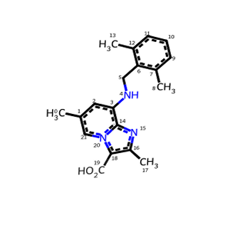 Cc1cc(NCc2c(C)cccc2C)c2nc(C)c(C(=O)O)n2c1